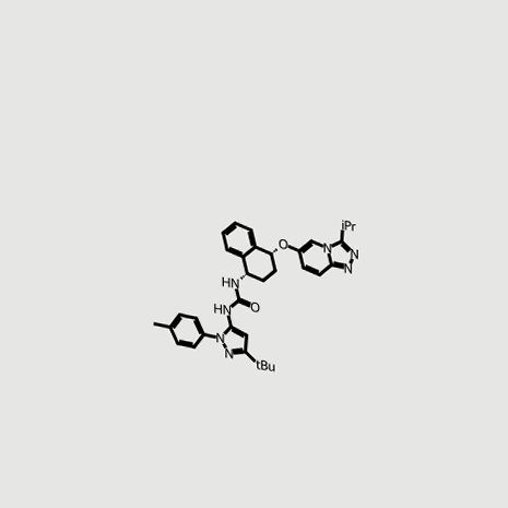 Cc1ccc(-n2nc(C(C)(C)C)cc2NC(=O)N[C@H]2CC[C@@H](Oc3ccc4nnc(C(C)C)n4c3)c3ccccc32)cc1